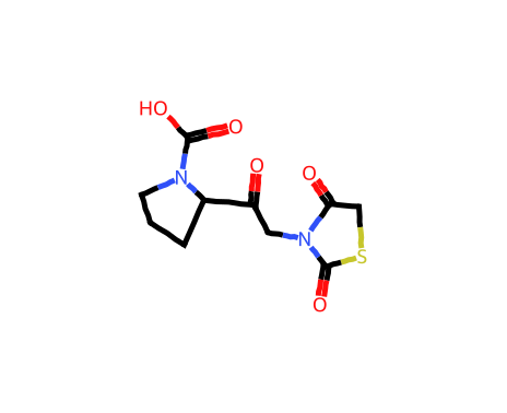 O=C(CN1C(=O)CSC1=O)C1CCCN1C(=O)O